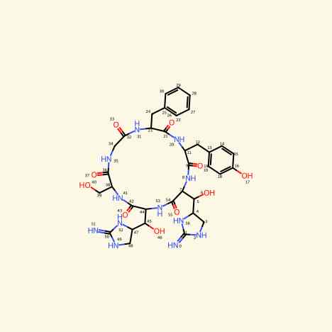 N=C1NCC(C(O)C2NC(=O)C(Cc3ccc(O)cc3)NC(=O)C(Cc3ccccc3)NC(=O)CNC(=O)C(CO)NC(=O)C(C(O)C3CNC(=N)N3)NC2=O)N1